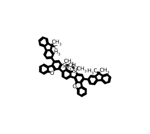 CC1(C)c2ccccc2-c2ccc(-c3cc4c(c5oc6ccccc6c35)-c3ccc5c(c3[Si]4(C)C)[Si](C)(C)c3cc(-c4ccc6c(c4)C(C)(C)c4ccccc4-6)c4c(oc6ccccc64)c3-5)cc21